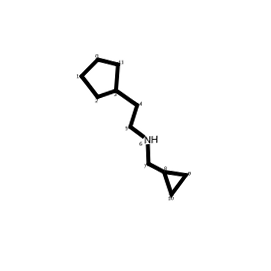 C1CCC(CCNCC2CC2)C1